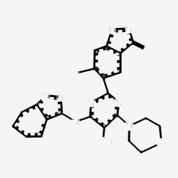 Cc1c(Nc2n[nH]c3ccccc23)nc(-c2cc3c(=O)[nH][nH]c3cc2Cl)nc1N1CCOCC1